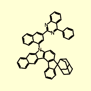 c1ccc(-c2nc(-c3cc(-n4c5cc6ccccc6cc5c5c6c(ccc54)C4(c5ccccc5-6)C5CC6CC(C5)CC4C6)c4ccccc4c3)nc3ccccc23)cc1